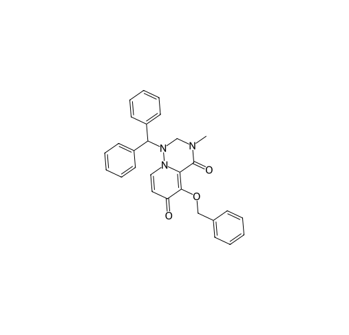 CN1CN(C(c2ccccc2)c2ccccc2)n2ccc(=O)c(OCc3ccccc3)c2C1=O